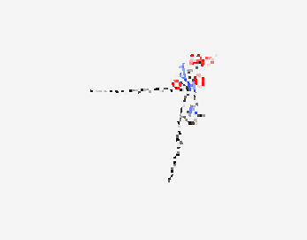 CCCCCCCC/C=C/CCCCCCCC1(CCCCCCC/C=C/CCCCCCCC)C(=O)NC(CCC(=O)OCC)C(=O)N1CCCN1CCCCC1C